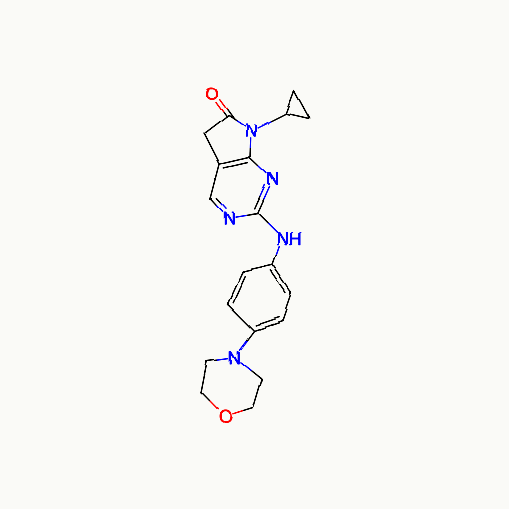 O=C1Cc2cnc(Nc3ccc(N4CCOCC4)cc3)nc2N1C1CC1